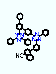 N#Cc1ccc(-c2cccc(-c3nc(-c4ccccc4)nc(-c4ccc(-c5cc(-c6ccccc6)ccc5-c5nc(-c6ccccc6)nc(-c6ccccc6)n5)cc4)n3)c2)c2ccccc12